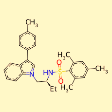 CC[C@@H](Cn1cc(-c2ccc(C)cc2)c2ccccc21)NS(=O)(=O)c1c(C)cc(C)cc1C